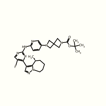 C[C@H]1CCCCn2ncc(-c3nc(Nc4ccc(N5CC6(CN(C(=O)OC(C)(C)C)C6)C5)cn4)ncc3F)c21